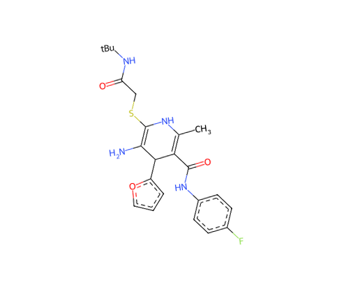 CC1=C(C(=O)Nc2ccc(F)cc2)C(c2ccco2)C(N)=C(SCC(=O)NC(C)(C)C)N1